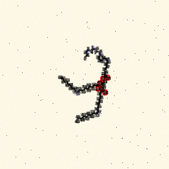 CC/C=C\C/C=C\C/C=C\C/C=C\C/C=C\CCCCCC(=O)OC[C@@H](COC(=O)CCCCCCC/C=C\CCCCCCCC)OC(=O)CCCCCCC/C=C\CCCCCCCC